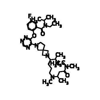 CCN(C(=O)c1cc(F)ccc1Oc1nncnc1N1CCC2(C1)CN([C@H](CCCN(C)C(C)CC(=O)N(C)C)C(C)C)C2)C(C)C